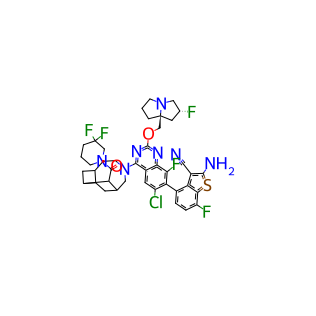 N#Cc1c(N)sc2c(F)ccc(-c3c(Cl)cc4c(N5CCC6CC7C6CC(C5)C7C(=O)N5CCCC(F)(F)C5)nc(OC[C@@]56CCCN5C[C@H](F)C6)nc4c3F)c12